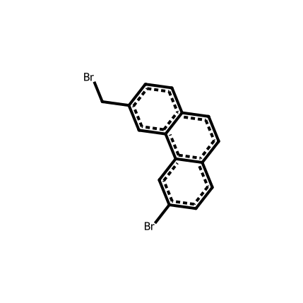 BrCc1ccc2ccc3ccc(Br)cc3c2c1